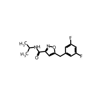 CC(C)NC(=O)c1cc(Cc2cc(F)cc(F)c2)on1